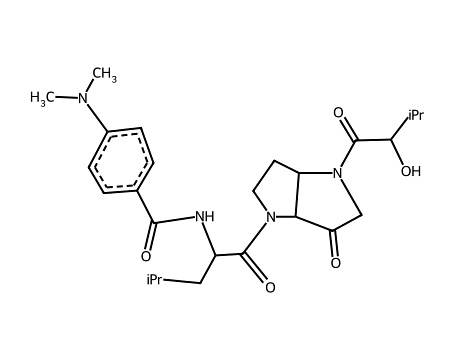 CC(C)CC(NC(=O)c1ccc(N(C)C)cc1)C(=O)N1CCC2C1C(=O)CN2C(=O)C(O)C(C)C